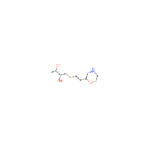 CC(O)C(O)CSCCC1CNCCO1